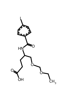 CCOCOCC(CCC(=O)O)NC(=O)c1ccc(I)cc1